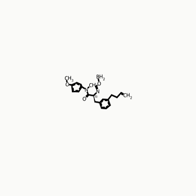 BOC=N[C@@H](Cc1cccc(CCC=C)c1)C(=O)N(C)c1ccc(OC)cc1